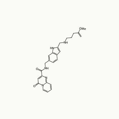 C=C(CCCNCc1cc2ccc(CNC(=O)c3cc(=O)n4ccccc4n3)cc2[nH]1)OC